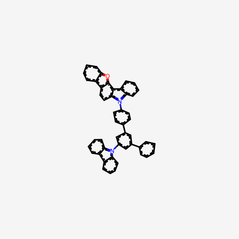 c1ccc(-c2cc(-c3ccc(-n4c5ccccc5c5c6oc7ccccc7c6ccc54)cc3)cc(-n3c4ccccc4c4ccccc43)c2)cc1